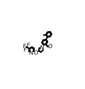 Cc1ccccc1-c1ccc(N2CC[C@H](Oc3ccc(C(F)(F)F)cn3)C2)c(C=O)c1